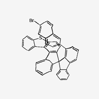 Brc1ccc2cc(-c3cccc4c3C3(c5ccccc5-4)c4ccccc4-c4c3ccc3sc5ccccc5c43)ccc2c1